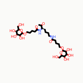 CC(=O)[C@@H](CCCCNC(=O)CCCCOC1OC(CO)C(O)C(O)C1O)NC(=O)CCCCOC1OC(CO)[C@H](O)C(O)C1O